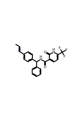 C/C=C/c1ccc(C(NC(=O)c2ccc(C(F)(F)F)[nH]c2=O)c2ccccc2)cc1